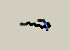 CCCCCCCCCCCCCCCCC1N(C)C=CN1CCCCCC